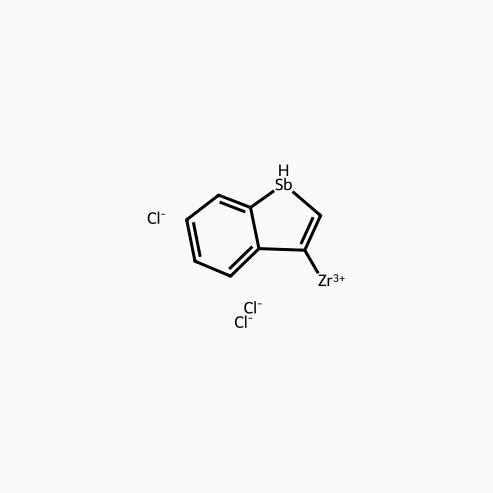 [Cl-].[Cl-].[Cl-].[Zr+3][C]1=[CH][SbH][c]2ccccc21